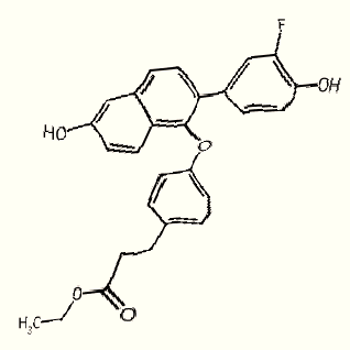 CCOC(=O)CCc1ccc(Oc2c(-c3ccc(O)c(F)c3)ccc3cc(O)ccc23)cc1